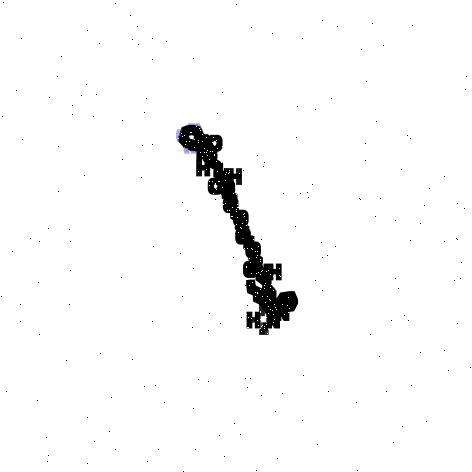 CCCCc1nc2c(N)nc3ccccc3c2n1CCCCNC(=O)CCOCCOCCOCCOCCOC(=O)NCCCCC1NC2/C3=C/C=C\C=C/C(=C3)C2(C)C1=O